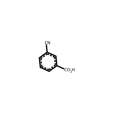 N#Cc1[c]c(C(=O)O)ccc1